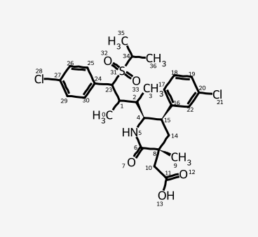 CC(C(C)[C@@H]1NC(=O)[C@@](C)(CC(=O)O)C[C@@H]1c1cccc(Cl)c1)C(c1ccc(Cl)cc1)S(=O)(=O)C(C)C